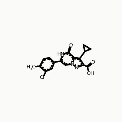 Cc1ccc(-c2cn3nc(C(=O)O)c(C4CC4)c3c(=O)[nH]2)cc1Cl